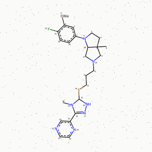 COc1cc(N2CCC3(C)CN(CCCSC4NN=C(c5cnccn5)N4C)CC23)ccc1F